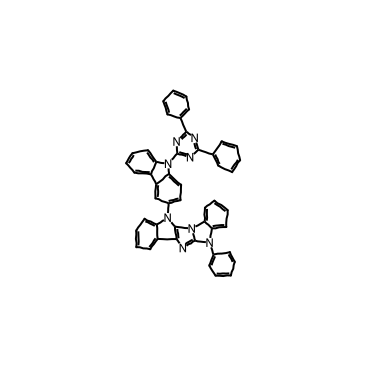 c1ccc(-c2nc(-c3ccccc3)nc(-n3c4ccccc4c4cc(-n5c6ccccc6c6nc7n(-c8ccccc8)c8ccccc8n7c65)ccc43)n2)cc1